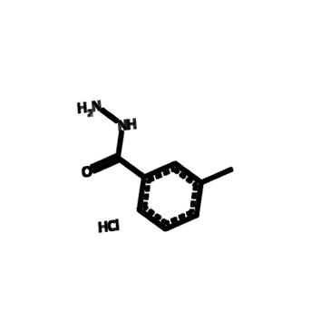 Cc1cccc(C(=O)NN)c1.Cl